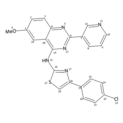 COc1ccc2nc(-c3cccnc3)nc(Nc3nc(-c4ccc(Cl)cc4)cs3)c2c1